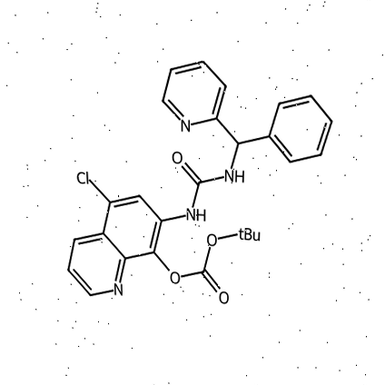 CC(C)(C)OC(=O)Oc1c(NC(=O)NC(c2ccccc2)c2ccccn2)cc(Cl)c2cccnc12